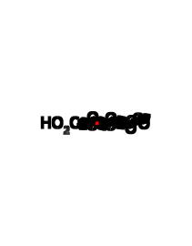 C=CC(=O)OCOC(=O)c1ccc(C(=O)Oc2ccc(C(=O)OC3CCC(C(=O)O)CC3)cc2)cc1